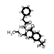 CCSc1nc2cc(C(F)(F)F)ccc2c(=O)n1NC(=O)Cc1ccccc1